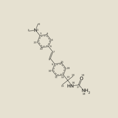 CN(C)c1ccc(C=Cc2ccc(C(C)(C)NC(N)=O)cc2)cc1